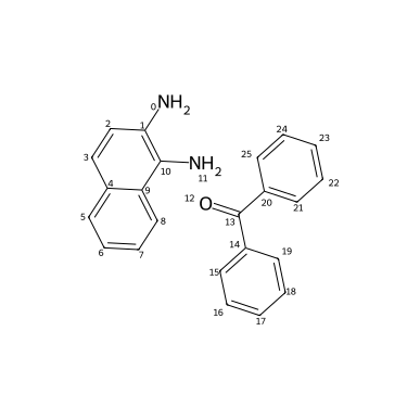 Nc1ccc2ccccc2c1N.O=C(c1ccccc1)c1ccccc1